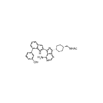 CC(=O)NC[C@H]1CC[C@H](c2nc(-c3cc4cccc(-c5cccc(O)c5)c4[nH]3)c3c(N)ncnn32)CC1